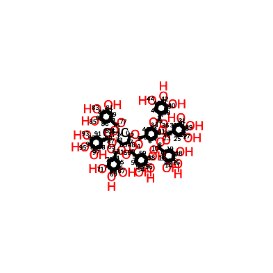 O=C[C@H](OC(=O)c1cc(OC(=O)c2cc(O)c(O)c(O)c2)c(OC(=O)c2cc(O)c(O)c(O)c2)c(OC(=O)c2cc(O)c(O)c(O)c2)c1)[C@@H](OC(=O)c1cc(O)c(O)c(O)c1)[C@H](OC(=O)c1cc(O)c(O)c(O)c1)[C@@H](COC(=O)c1cc(O)c(O)c(O)c1)OC(=O)c1cc(O)c(O)c(O)c1